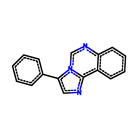 c1ccc(-c2cnc3c4ccccc4ncn23)cc1